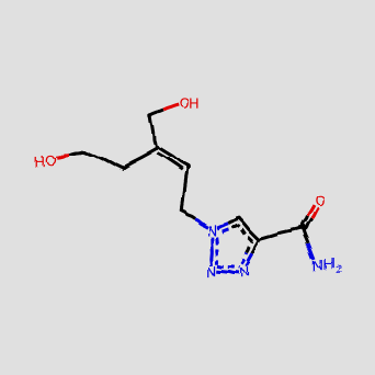 NC(=O)c1cn(C/C=C(/CO)CCO)nn1